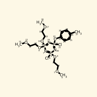 COCCOP1(Cl)=NP(OCCOC)(OCCOC)=NP(Cl)(Oc2ccc(C)cc2)=N1